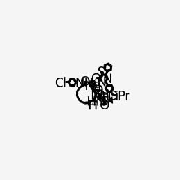 CC(C)Oc1ccc(-c2nc(O[C@@H]3C[C@H]4C(=O)N[C@]5(C(=O)NS(=O)(=O)C6CC6)C[C@H]5/C=C\CCCCC[C@H](Nc5ccc(Cl)cc5)C(=O)N4C3)c3sc4ccccc4c3n2)cc1